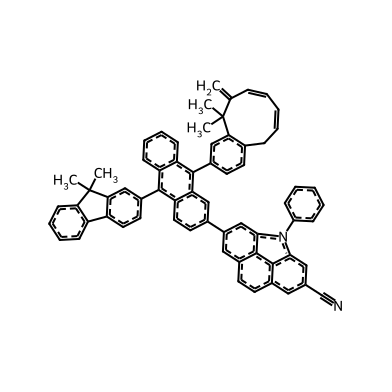 C=C1/C=C\C=C/Cc2ccc(-c3c4ccccc4c(-c4ccc5c(c4)C(C)(C)c4ccccc4-5)c4ccc(-c5cc6ccc7cc(C#N)cc8c7c6c(c5)n8-c5ccccc5)cc34)cc2C1(C)C